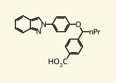 CCCC(Oc1ccc(-n2cc3ccccc3n2)cc1)c1ccc(C(=O)O)cc1